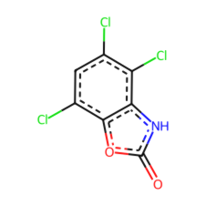 O=c1[nH]c2c(Cl)c(Cl)cc(Cl)c2o1